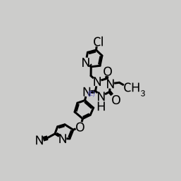 CCn1c(=O)[nH]/c(=N\c2ccc(Oc3ccc(C#N)nc3)cc2)n(Cc2ccc(Cl)cn2)c1=O